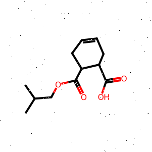 CC(C)COC(=O)C1CC=CCC1C(=O)O